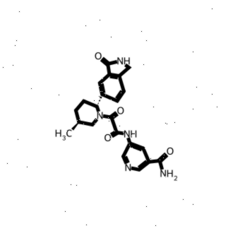 C[C@H]1CC[C@H](c2ccc3c(c2)C(=O)NC3)N(C(=O)C(=O)Nc2cncc(C(N)=O)c2)C1